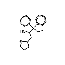 CCC(c1ccccc1)(c1ccccc1)C(O)CC1CCCN1